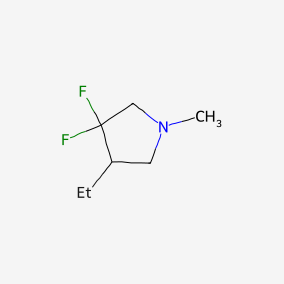 CCC1CN(C)CC1(F)F